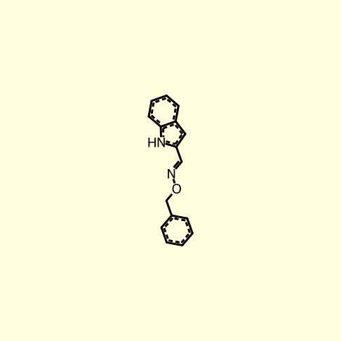 C(=NOCc1ccccc1)c1cc2ccccc2[nH]1